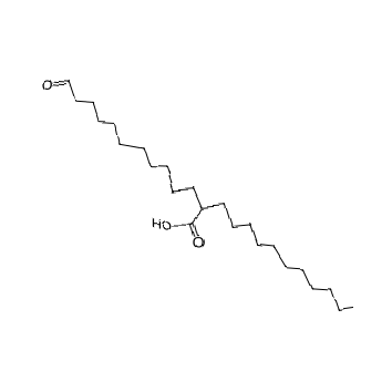 CCCCCCCCCCCC(CCCCCCCCCCC=O)C(=O)O